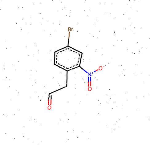 O=CCc1ccc(Br)cc1[N+](=O)[O-]